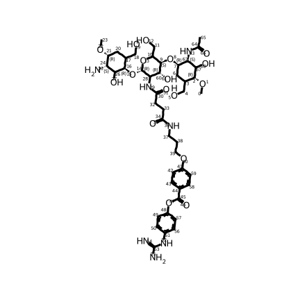 CO[C@@H]1C(CO)C[C@@H](O[C@@H]2C(CO)O[C@@H](O[C@@H]3C(CO)C[C@@H](OC)[C@@H](N)C3O)C(NC(=O)CCC(=O)NCCCOc3ccc(C(=O)Oc4ccc(NC(=N)N)cc4)cc3)[C@H]2O)[C@@H](NC(C)=O)C1O